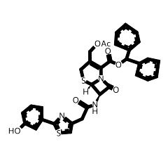 CC(=O)OCC1=C(C(=O)OC(c2ccccc2)c2ccccc2)N2C(=O)[C@@H](NC(=O)Cc3csc(-c4cccc(O)c4)n3)[C@H]2SC1